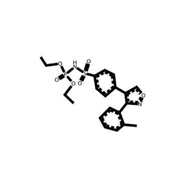 CCOP(=O)(NS(=O)(=O)c1ccc(-c2conc2-c2ccccc2C)cc1)OCC